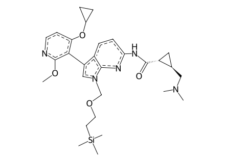 COc1nccc(OC2CC2)c1-c1cn(COCC[Si](C)(C)C)c2nc(NC(=O)[C@@H]3C[C@H]3CN(C)C)ccc12